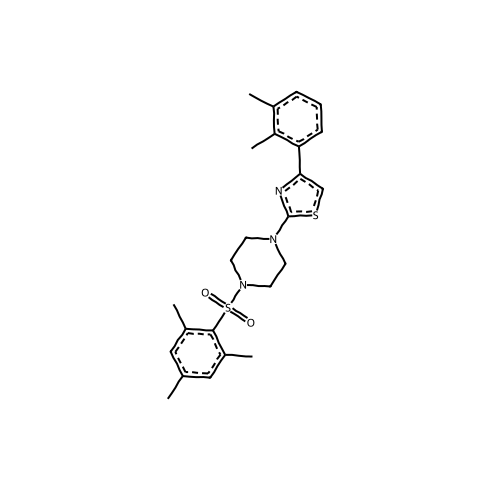 Cc1cc(C)c(S(=O)(=O)N2CCN(c3nc(-c4cccc(C)c4C)cs3)CC2)c(C)c1